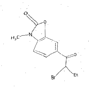 CCC(Br)C(=O)c1ccc2c(c1)oc(=O)n2C